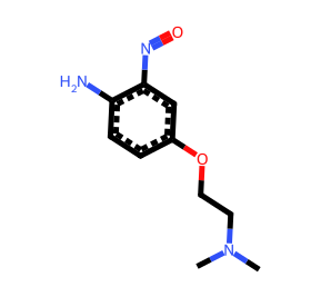 CN(C)CCOc1ccc(N)c(N=O)c1